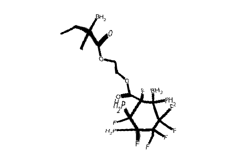 BC(C)(CC)C(=O)OCCOC(=O)C1(F)C(B)(P)C(F)(F)C(F)(F)C(F)(P)C1(F)P